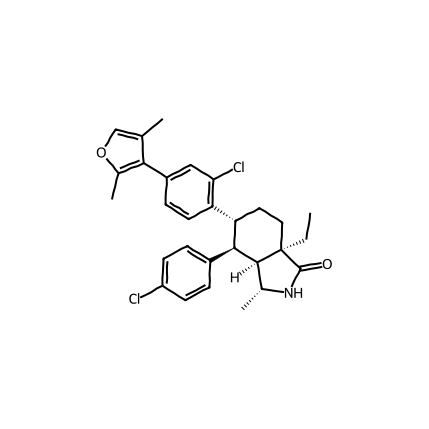 CC[C@@]12CC[C@@H](c3ccc(-c4c(C)coc4C)cc3Cl)[C@H](c3ccc(Cl)cc3)[C@@H]1[C@@H](C)NC2=O